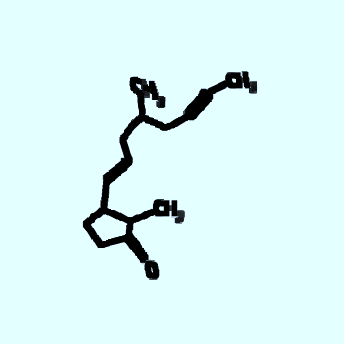 CC#CCC(C)C/C=C/C1CCC(=O)C1C